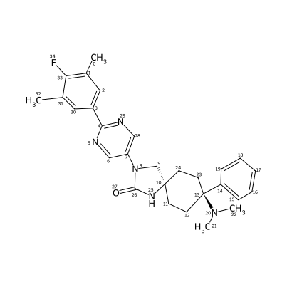 Cc1cc(-c2ncc(N3C[C@]4(CC[C@](c5ccccc5)(N(C)C)CC4)NC3=O)cn2)cc(C)c1F